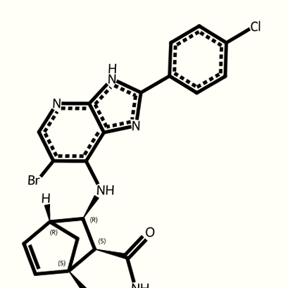 NC(=O)[C@@H]1[C@H](Nc2c(Br)cnc3[nH]c(-c4ccc(Cl)cc4)nc23)[C@H]2C=C[C@@H]1C2